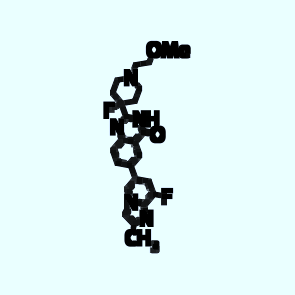 COCCN1CCC(F)(c2nc3ccc(-c4cc(F)c5nc(C)cn5c4)cc3c(=O)[nH]2)CC1